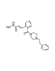 O=C(/C=C/c1ccccc1C(=O)N1CCN(CCc2ccccc2)CC1)NO